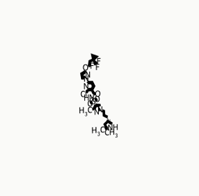 Cc1nn(CCC[C@@H]2CNC(C)(C)C2)cc1S(=O)(=O)NC(=O)c1ccc(-n2ccc(OCCC3(C(F)(F)F)CC3)n2)nc1Cl